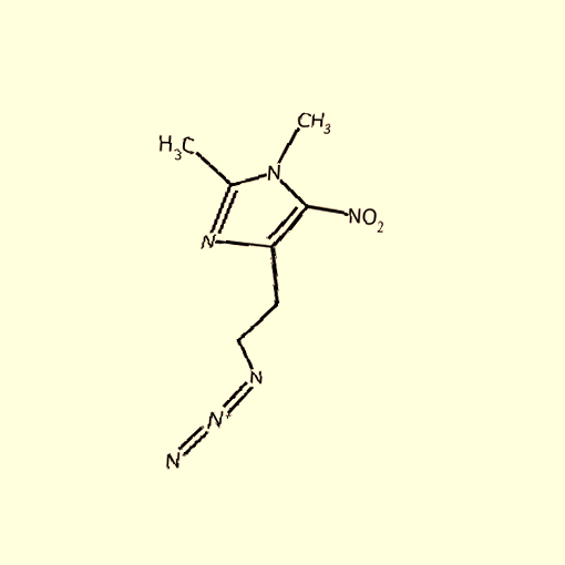 Cc1nc(CCN=[N+]=[N-])c([N+](=O)[O-])n1C